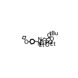 CCOP(=O)(OCC)C(Cc1nc(-c2ccc(OC3CCC3)cc2)no1)C(=O)OC(C)(C)C